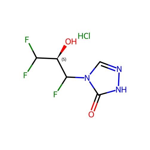 Cl.O=c1[nH]ncn1C(F)[C@H](O)C(F)F